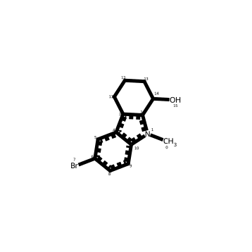 Cn1c2c(c3cc(Br)ccc31)CCCC2O